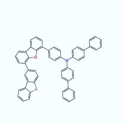 c1ccc(-c2ccc(N(c3ccc(-c4ccccc4)cc3)c3ccc(-c4cccc5c4oc4c(-c6ccc7sc8ccccc8c7c6)cccc45)cc3)cc2)cc1